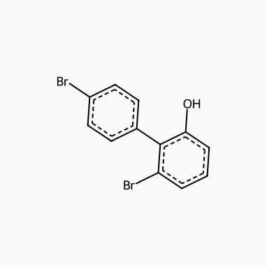 Oc1cccc(Br)c1-c1ccc(Br)cc1